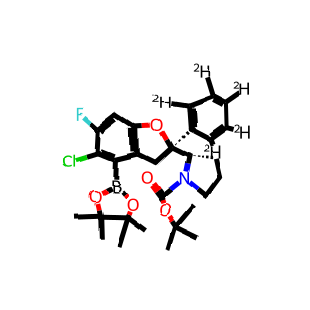 [2H]c1c([2H])c([2H])c([C@]2([C@@H]3CCCN3C(=O)OC(C)(C)C)Cc3c(cc(F)c(Cl)c3B3OC(C)(C)C(C)(C)O3)O2)c([2H])c1[2H]